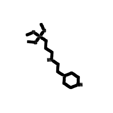 CO[Si](CCCNCCN1CCNCC1)(OC)OC